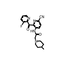 CC1CCN(CC(=O)Nc2ccc(C#N)nc2C(=O)c2ncccc2F)CC1